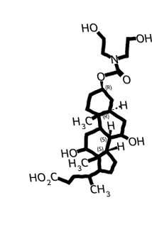 CC(CCC(=O)O)C1CC[C@H]2[C@H]3C(O)C[C@@H]4C[C@H](OC(=O)N(CCO)CCO)CCC4(C)C3CC(O)C12C